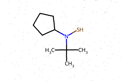 CC(C)(C)N(S)C1CCCC1